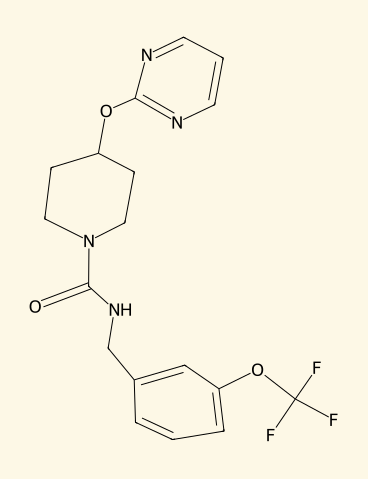 O=C(NCc1cccc(OC(F)(F)F)c1)N1CCC(Oc2ncccn2)CC1